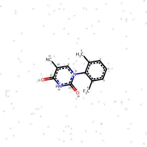 Cc1cccc(C(F)(F)F)c1-n1cc(C#N)c(=O)[nH]c1=O